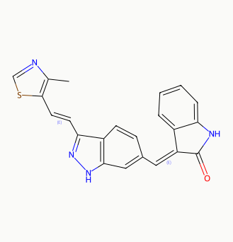 Cc1ncsc1/C=C/c1n[nH]c2cc(/C=C3/C(=O)Nc4ccccc43)ccc12